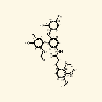 CCOc1cc(=O)n(C)cc1-c1cc(NC(=O)CCc2ccc(OC)c(OC)c2OC)ccc1Oc1ccc(F)cc1F